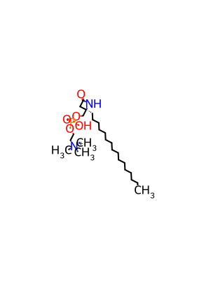 CCCCCCCCCCCCCCCC[C@]1(COP(=O)(O)OCC[N+](C)(C)C)CC(=O)N1